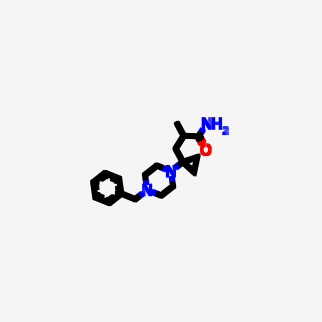 CC(CC1(N2CCN(Cc3ccccc3)CC2)CC1)C(N)=O